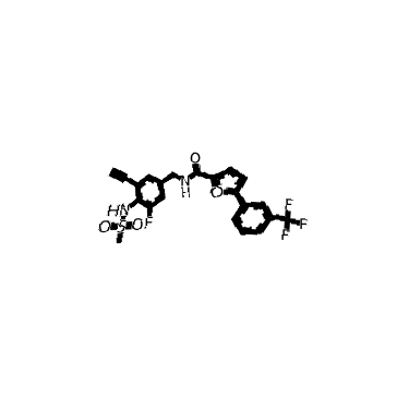 C#Cc1cc(CNC(=O)c2ccc(-c3cccc(C(F)(F)F)c3)o2)cc(F)c1NS(C)(=O)=O